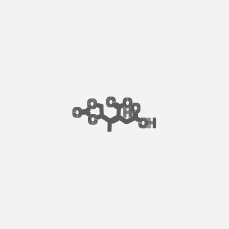 CC(=C(CC(=O)O)C(=O)O)C1COC(=O)O1